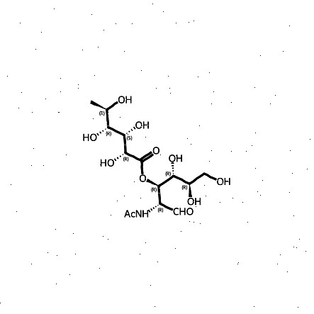 CC(=O)N[C@@H](C=O)[C@@H](OC(=O)[C@H](O)[C@@H](O)[C@H](O)[C@@H](C)O)[C@H](O)[C@H](O)CO